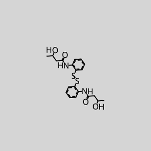 CC(O)CC(=O)Nc1ccccc1SSc1ccccc1NC(=O)CC(C)O